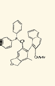 COc1ccc2ccccc2c1-c1c(OP(c2ccccc2)c2ccccc2)cc2c(c1C)COC2